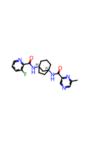 Cc1cncc(C(=O)N[C@@]23CCC[C@@](NC(=O)c4ncccc4F)(CC2)C3)n1